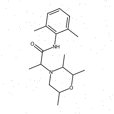 Cc1cccc(C)c1NC(=O)C(C)N1CC(C)OC(C)C1C